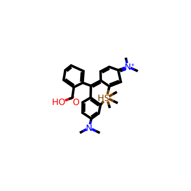 CN(C)c1ccc2c(c1)[SH](C)(C)(C)C1=CC(=[N+](C)C)C=CC1=C2c1ccccc1C(=O)O